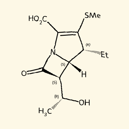 CC[C@H]1C(SC)=C(C(=O)O)N2C(=O)[C@H]([C@@H](C)O)[C@@H]12